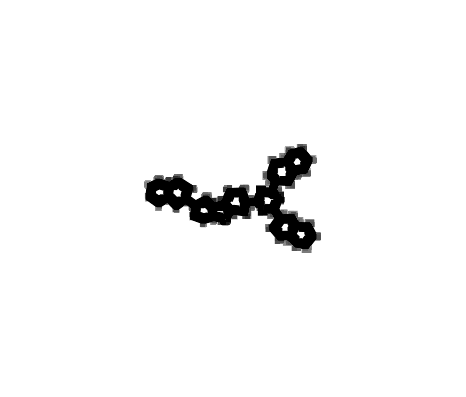 c1ccc2cc(-c3ccc4oc5cc(-c6nc(-c7ccc8ccccc8c7)nc(-c7ccc8ccccc8c7)n6)ccc5c4c3)ccc2c1